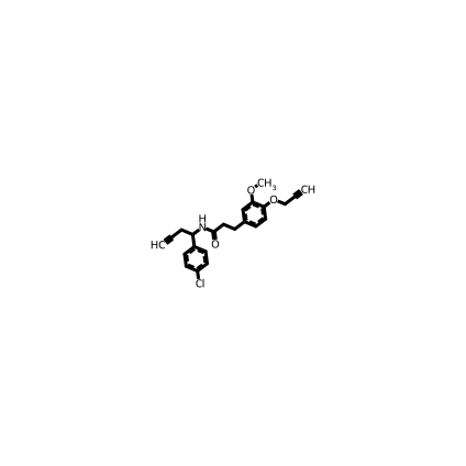 C#CCOc1ccc(CCC(=O)NC(CC#C)c2ccc(Cl)cc2)cc1OC